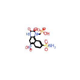 NS(=O)(=O)c1ccc2c([N+](=O)[O-])cc3[nH]c(=O)c(=O)n(CP(=O)(O)O)c3c2c1